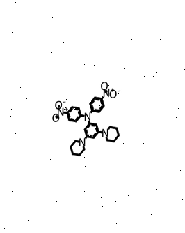 O=[N+]([O-])c1ccc(N(c2ccc([N+](=O)[O-])cc2)c2cc(N3CCCCC3)cc(N3CCCCC3)c2)cc1